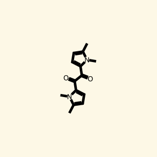 Cc1ccc(C(=O)C(=O)c2ccc(C)n2C)n1C